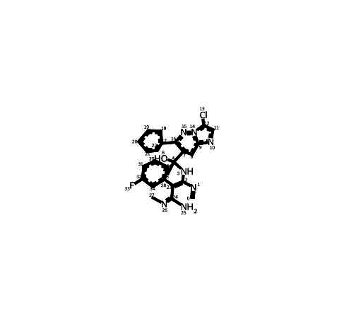 C=N/C(NC(C)(O)c1cc2ncc(Cl)n2nc1-c1ccccc1)=C(\C(N)=N/C)c1cccc(F)c1